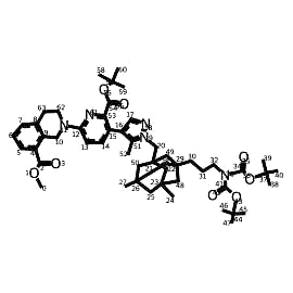 COC(=O)c1cccc2c1CN(c1ccc(-c3cnn(CC45CC6(C)CC(C)(CC(CCCN(C(=O)OC(C)(C)C)C(=O)OC(C)(C)C)(C6)C4)C5)c3C)c(C(=O)OC(C)(C)C)n1)CC2